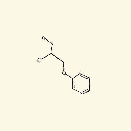 ClCC(Cl)COc1[c]cccc1